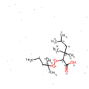 CCCC(C)(C)OOC(C(=O)O)C(C)(C)CC(C)C